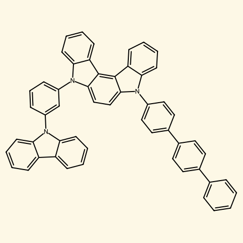 c1ccc(-c2ccc(-c3ccc(-n4c5ccccc5c5c6c7ccccc7n(-c7cccc(-n8c9ccccc9c9ccccc98)c7)c6ccc54)cc3)cc2)cc1